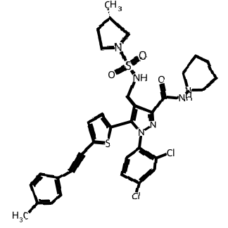 Cc1ccc(C#Cc2ccc(-c3c(CNS(=O)(=O)N4CC[C@H](C)C4)c(C(=O)NN4CCCCC4)nn3-c3ccc(Cl)cc3Cl)s2)cc1